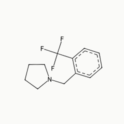 FC(F)(F)c1ccccc1CN1CCCC1